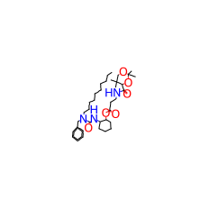 CCCCCCCCCCN(Cc1ccccc1)C(=O)NC1CCCCC1OC(=O)CCNC(=O)C1OC(C)(C)OCC1(C)C